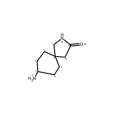 NC1CCC2(CC1)CNC(=O)C2